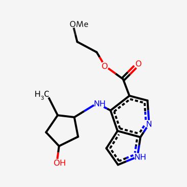 COCCOC(=O)c1cnc2[nH]ccc2c1NC1CC(O)CC1C